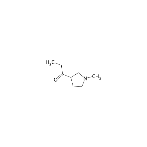 CCC(=O)C1CCN(C)C1